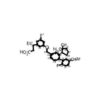 CC[C@@H](CC(=O)O)c1cc(F)cc(OCc2ccc(-c3cc(OC)ccc3F)c([C@@H]3CCCC3(C)C)c2)c1